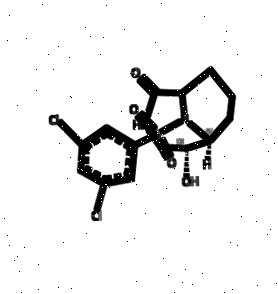 O=C1NC[C@@H](O)[C@@H]2CCCC1N2S(=O)(=O)c1cc(Cl)cc(Cl)c1